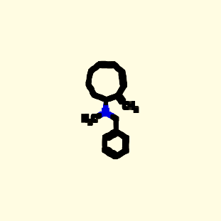 C=C1/C=C\C=C/CCC[C@@H]1N(C)Cc1ccccc1